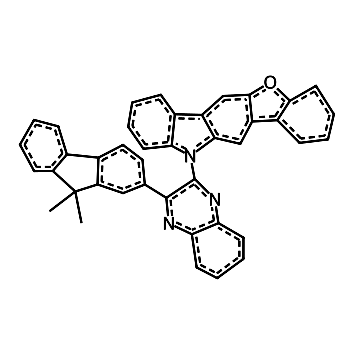 CC1(C)c2ccccc2-c2ccc(-c3nc4ccccc4nc3-n3c4ccccc4c4cc5oc6ccccc6c5cc43)cc21